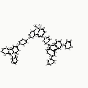 O=S1(=O)c2ccc(-c3ccc(-c4cc5c6ccccc6n6c7sccc7c(c4)c56)cc3)cc2-c2cc(-c3ccc(-n4c5ccc(-c6ccccc6)cc5c5cc(-c6ccccc6)ccc54)cc3)ccc21